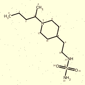 CCCC(C)N1CCC(CCNS(N)(=O)=O)CC1